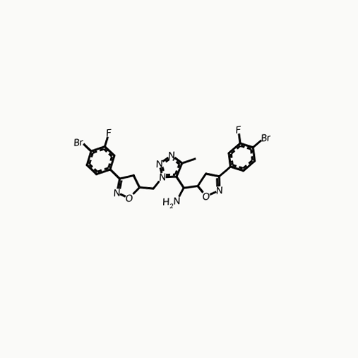 Cc1nnn(CC2CC(c3ccc(Br)c(F)c3)=NO2)c1C(N)C1CC(c2ccc(Br)c(F)c2)=NO1